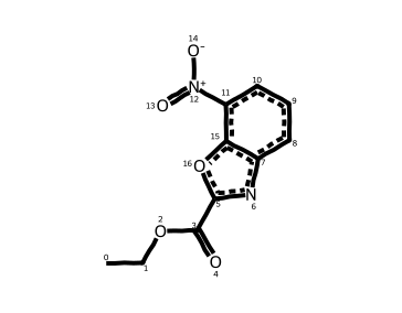 CCOC(=O)c1nc2cccc([N+](=O)[O-])c2o1